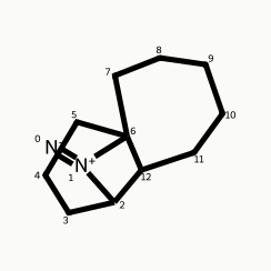 [N-]=[N+]1C2CCCC13CCCCCC23